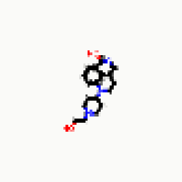 OCCN1CCC(N2CCc3cnc(O)c4cccc2c34)CC1